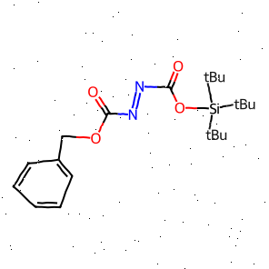 CC(C)(C)[Si](OC(=O)N=NC(=O)OCc1ccccc1)(C(C)(C)C)C(C)(C)C